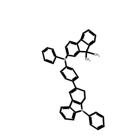 CC1(C)c2ccccc2-c2ccc(N(c3ccccc3)c3ccc(C4=Cc5c(n(-c6ccccc6)c6ccccc56)CC4)cc3)cc21